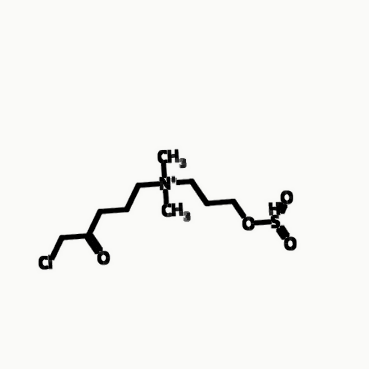 C[N+](C)(CCCO[SH](=O)=O)CCCC(=O)CCl